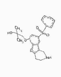 CC(C)(O)COc1cc(S(=O)(=O)c2ccccc2)cc2c3c(oc12)CCNC3